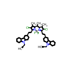 C#CCn1c2ccccc2c2cc(/C=C/C3=[N+]4C(=C(C)c5c(C)c(Cl)c(/C=C/c6ccc7c(c6)c6ccccc6n7CC#C)n5[B-]4(F)F)C(C)=C3Cl)ccc21